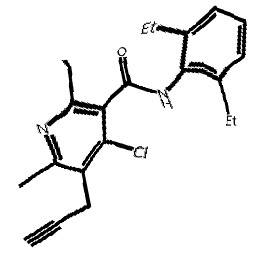 C#CCc1c(C)nc(C)c(C(=O)Nc2c(CC)cccc2CC)c1Cl